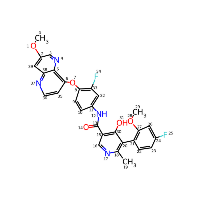 COc1cnc2c(Oc3ccc(NC(=O)c4cnc(C)c(-c5ccc(F)cc5OC)c4O)cc3F)ccnc2c1